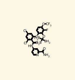 BC(B)(B)Oc1c(Oc2cc(Cl)cc(Cl)c2C(=O)Nc2ccnc(C(N)=O)c2)ccc(OC(F)(F)F)c1F